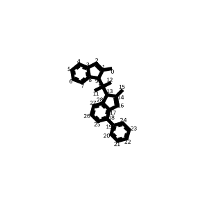 CC1=Cc2ccccc2C1C(C)(C)C1C(C)=Cc2c(-c3ccccc3)cccc21